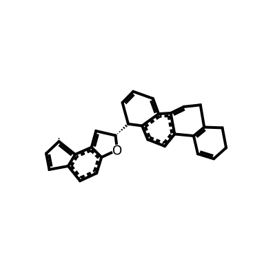 [C]1=c2c(ccc3c2=C[C@H](C2C=CC=c4c2ccc2c4=CCC4=C2C=CCC4)O3)C=C1